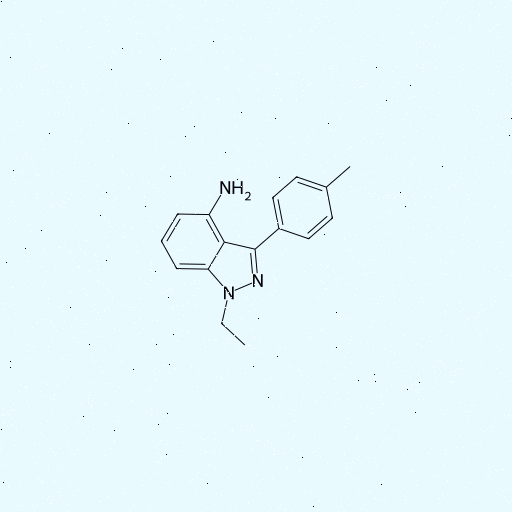 CCn1nc(-c2ccc(C)cc2)c2c(N)cccc21